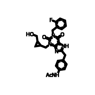 CC(=O)Nc1ccc(Cc2nc3c([nH]2)c(=O)n(Cc2ccccc2F)c(=O)n3CC2CC2CO)cc1